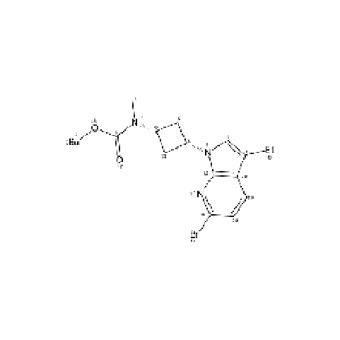 CCc1cn([C@H]2C[C@@H](N(C)C(=O)OC(C)(C)C)C2)c2nc(Br)ccc12